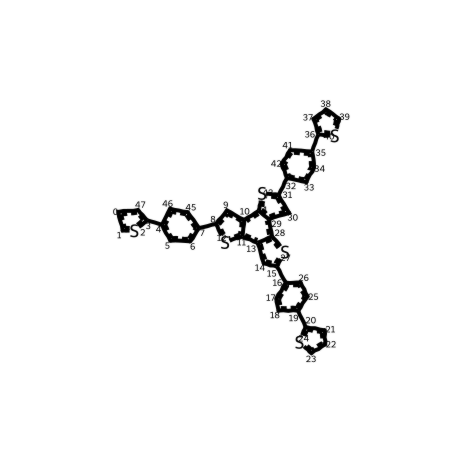 c1csc(-c2ccc(-c3cc4c(s3)c3cc(-c5ccc(-c6cccs6)cc5)sc3c3cc(-c5ccc(-c6cccs6)cc5)sc43)cc2)c1